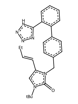 CCC=Cc1cn(C(C)(C)C)c(=O)n1Cc1ccc(-c2ccccc2-c2nnn[nH]2)cc1